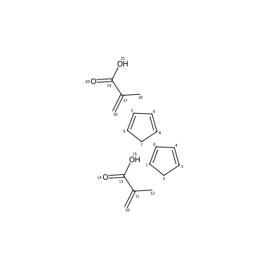 C1=CCC=C1.C1=CCC=C1.C=C(C)C(=O)O.C=C(C)C(=O)O